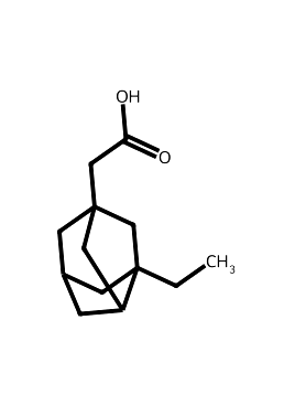 CCC12CC3CC1CC(CC(=O)O)(C3)C2